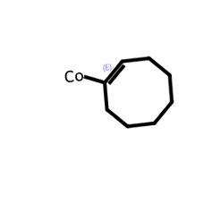 [Co]/[C]1=C/CCCCCC1